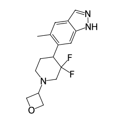 Cc1cc2cn[nH]c2cc1C1CCN(C2COC2)CC1(F)F